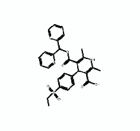 CCS(=O)(=O)c1ccc(C2C(C(=O)O)=C(C)NC(C)=C2C(=O)OC(c2ccccn2)c2ccccn2)cc1